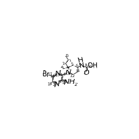 CCCC1(C)CC(NC(=O)O)CCN1c1nc(Br)cnc1N